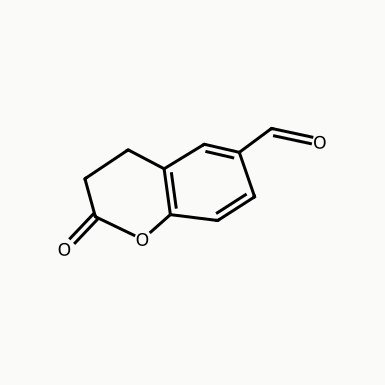 O=Cc1ccc2c(c1)CCC(=O)O2